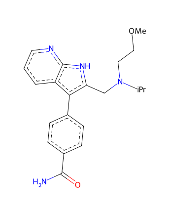 COCCN(Cc1[nH]c2ncccc2c1-c1ccc(C(N)=O)cc1)C(C)C